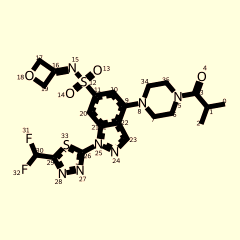 CC(C)C(=O)N1CCN(c2cc(S(=O)(=O)N=C3COC3)cc3c2cnn3-c2nnc(C(F)F)s2)CC1